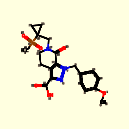 COc1ccc(Cn2nc(C(=O)O)c3c2C(=O)N(CC2(S(C)(=O)=O)CC2)CC3)cc1